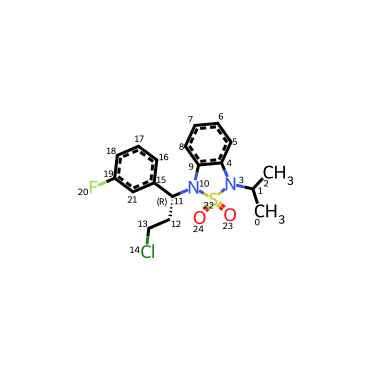 CC(C)N1c2ccccc2N([C@H](CCCl)c2cccc(F)c2)S1(=O)=O